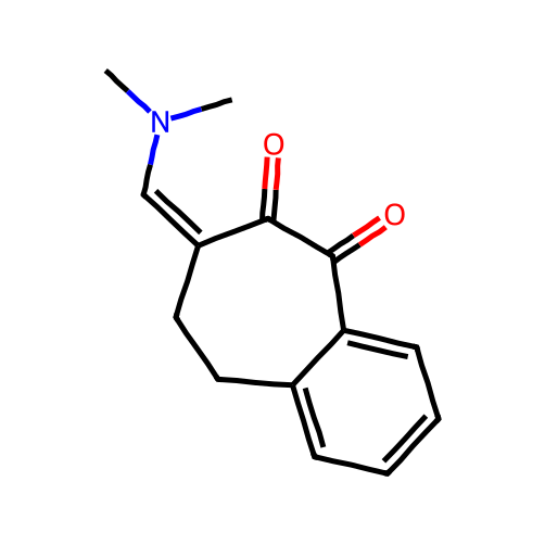 CN(C)C=C1CCc2ccccc2C(=O)C1=O